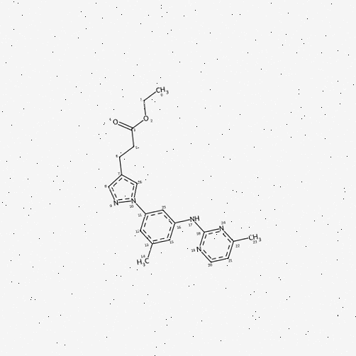 CCOC(=O)CCc1cnn(-c2cc(C)cc(Nc3nccc(C)n3)c2)c1